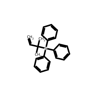 C=CC(C)(C)[Si](c1ccccc1)(c1ccccc1)c1ccccc1